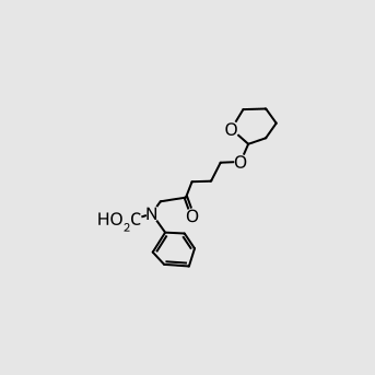 O=C(CCCOC1CCCCO1)CN(C(=O)O)c1ccccc1